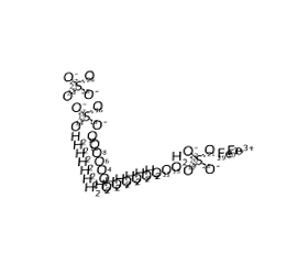 O.O.O.O.O.O.O.O.O.O.O.O.O.O.O=S(=O)([O-])[O-].O=S(=O)([O-])[O-].O=S(=O)([O-])[O-].[Fe+3].[Fe+3]